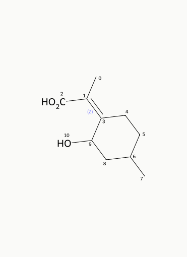 C/C(C(=O)O)=C1\CCC(C)CC1O